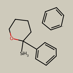 [SiH3]C1(c2ccccc2)CCCCO1.[c]1ccccc1